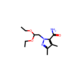 CCOC(Cn1nc(C)c(C)c1C(N)=O)OCC